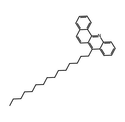 CCCCCCCCCCCCCCCc1c2ccccc2nc2c1ccc1ccccc12